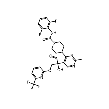 Cc1ncc(C(O)(C=O)COc2cccc(C(F)(F)F)n2)c(C2CCN(C(=O)Nc3c(F)cccc3F)CC2)n1